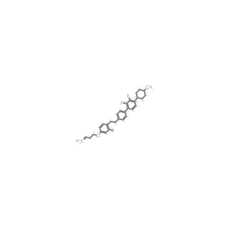 C=CCCOc1ccc(CCc2ccc(-c3ccc(C4CCC(C)CC4)c(F)c3F)cc2)c(F)c1